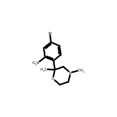 CN1CCOC(C)(c2ccc(Br)cc2[N+](=O)[O-])C1